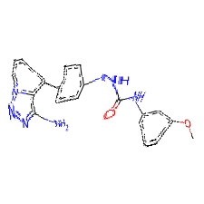 COc1cccc(NC(=O)Nc2ccc(-c3cccn4nnc(N)c34)cc2)c1